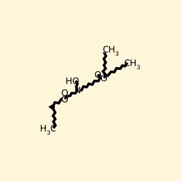 CCCCCCCCC(CCCCCCCC)OC(=O)CCCCCCCN(CCO)CCCC(=O)OCCCC1CC1CCCCCC